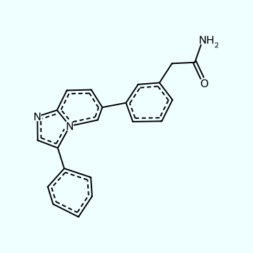 NC(=O)Cc1cccc(-c2ccc3ncc(-c4ccccc4)n3c2)c1